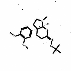 COc1ccc([C@@]23CCC(=NOC(C)(C)C)C[C@@H]2N(C)CC3)cc1OC